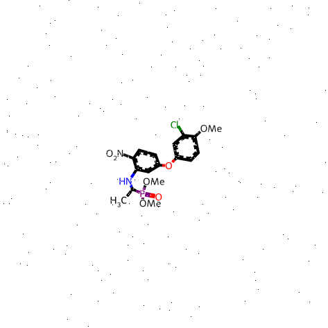 COc1ccc(Oc2ccc([N+](=O)[O-])c(NC(C)P(=O)(OC)OC)c2)cc1Cl